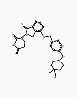 C=C1CC[C@](C)(N2Cc3c(OCc4ccc(CN5CCC(C)(C)CC5)cc4)cccc3C2=O)C(=O)N1